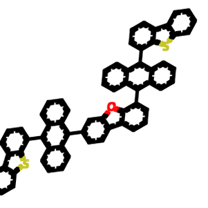 c1ccc2c(c1)sc1c(-c3c4ccccc4c(-c4ccc5c(c4)oc4c(-c6c7ccccc7c(-c7cccc8c7sc7ccccc78)c7ccccc67)cccc45)c4ccccc34)cccc12